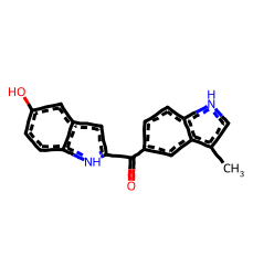 Cc1c[nH]c2ccc(C(=O)c3cc4cc(O)ccc4[nH]3)cc12